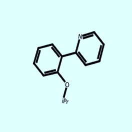 CC(C)Oc1ccccc1-c1ccccn1